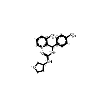 O=C(NC1CCOC1)NC(c1ccc(C(F)(F)F)cc1)c1ncccc1C(F)(F)F